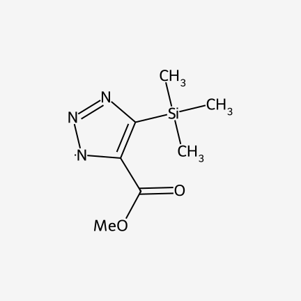 COC(=O)C1=C([Si](C)(C)C)N=N[N]1